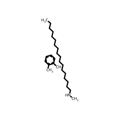 CCCCCCCCCCCCCCCCCCNC.Cc1ccccc1C